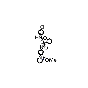 CO/N=C1\CCCCN1c1ccc(NC(=O)[C@H](OC(=O)Nc2ccc(Cl)cc2)c2ccccc2)cc1